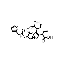 C=CC(C(=O)O)C1=C(C(C=C)C(=O)O)N2C(=O)[C@@H](NC(=O)Cc3cccs3)CN2C1